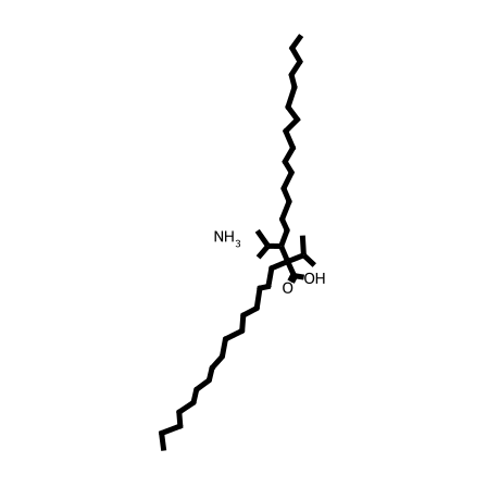 CCCCCCCCCCCCCCCCC(C(=O)O)(C(C)C)C(CCCCCCCCCCCCCCC)C(C)C.N